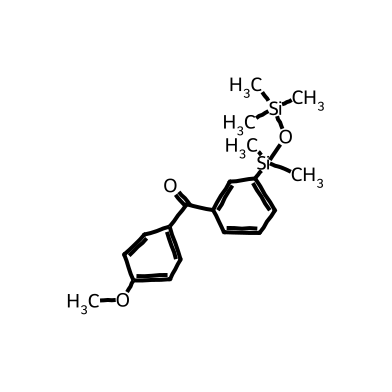 COc1ccc(C(=O)c2cccc([Si](C)(C)O[Si](C)(C)C)c2)cc1